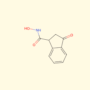 O=C1CC(C(=O)NO)c2ccccc21